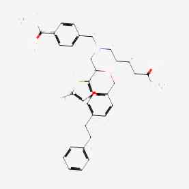 COC(=O)CCCCN(Cc1ccc(C(=O)OC)cc1)CC(OCc1ccc(CCc2ccccc2)cc1)c1ccc(Cl)s1